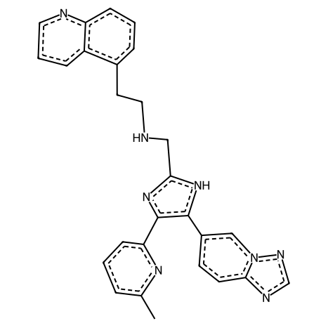 Cc1cccc(-c2nc(CNCCc3cccc4ncccc34)[nH]c2-c2ccc3ncnn3c2)n1